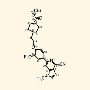 Cn1cnc2c(C#N)nc(-c3ccc(OCCC4CCN(C(=O)OC(C)(C)C)CC4)c(C(F)(F)F)c3)cc21